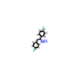 N=C(Cc1ccc(F)cc1)c1ccc(F)cc1